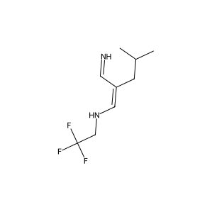 CC(C)C/C(C=N)=C/NCC(F)(F)F